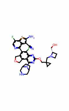 N#Cc1c(N)sc2c(F)cnc(-c3c4c(c5c(N6C7CCC6CNC7)nc(OCC6(CN7CC[C@H]7CO)CC6)nc5c3F)COC4)c12